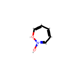 [O-][N+]1=CC=CC=CO1